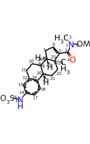 CON(C)C(=O)C1=CC[C@H]2[C@@H]3CCc4cc(NS(=O)(=O)O)ccc4[C@H]3CC[C@]12C